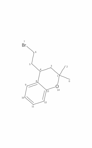 CC1(C)CC(CCBr)c2ccccc2O1